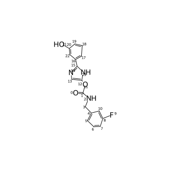 O=C(NCc1cccc(F)c1)Oc1cnc(-c2cccc(O)c2)[nH]1